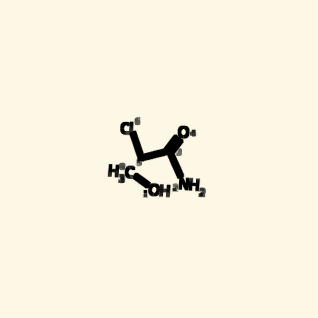 CO.NC(=O)CCl